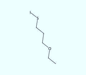 CCOCCCSI